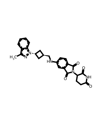 Cc1nn([C@H]2C[C@H](CNc3ccc4c(c3)C(=O)N(C3CCC(=O)NC3=O)C4=O)C2)c2ccccc12